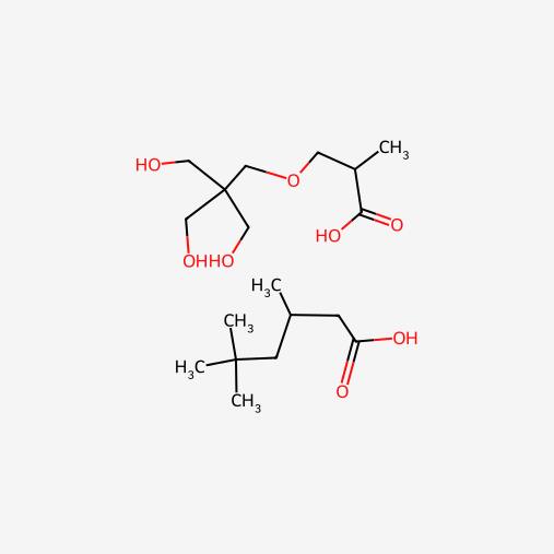 CC(CC(=O)O)CC(C)(C)C.CC(COCC(CO)(CO)CO)C(=O)O